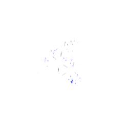 CNC(=O)c1cnc(NC(=O)C2CC2)cc1Nc1cccc2c1N(C)[C@@H](C)c1nn(C)nc1-2